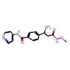 CONC(=O)CC(N)c1ccc(C(=O)Nc2ccncc2)cc1